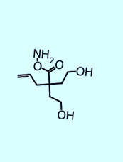 C=CCC(CCO)(CCO)C(=O)ON